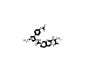 CC(Nc1ncc2c(n1)CN(C(=O)N[C@@H]1CN(C)C[C@H]1c1ccc(OC(F)F)cc1)CC2)C(F)F